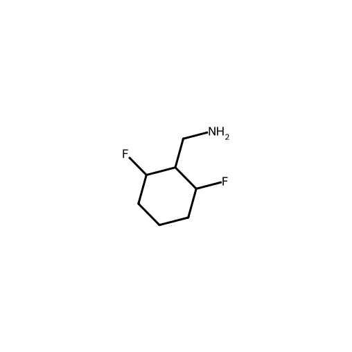 NCC1C(F)CCCC1F